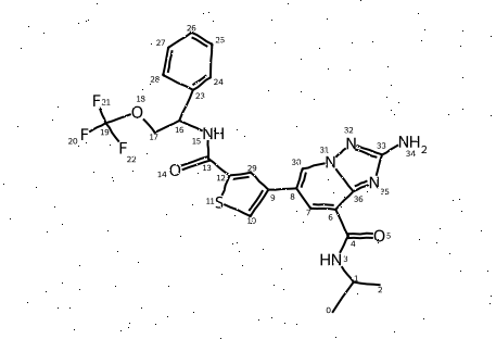 CC(C)NC(=O)c1cc(-c2csc(C(=O)NC(COC(F)(F)F)c3ccccc3)c2)cn2nc(N)nc12